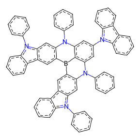 c1ccc(N2c3cc4c(cc3B3c5cc6c7ccccc7n(-c7ccccc7)c6cc5N(c5ccccc5)c5cc(-n6c7ccccc7c7ccccc76)cc2c53)c2ccccc2n4-c2ccccc2)cc1